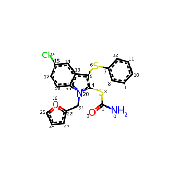 NC(=O)Sc1c(Sc2ccccc2)c2cc(Cl)ccc2n1Cc1ccco1